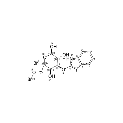 O[C@@H]1[C@@H](Oc2cc3ccccc3[nH]2)[C@@H](O)[C@@](Br)(COBr)O[C@H]1O